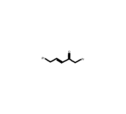 CC(C)C/C=C/C(=O)CC(C)C